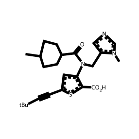 CC1CCC(C(=O)N(Cc2cncn2C)c2cc(C#CC(C)(C)C)sc2C(=O)O)CC1